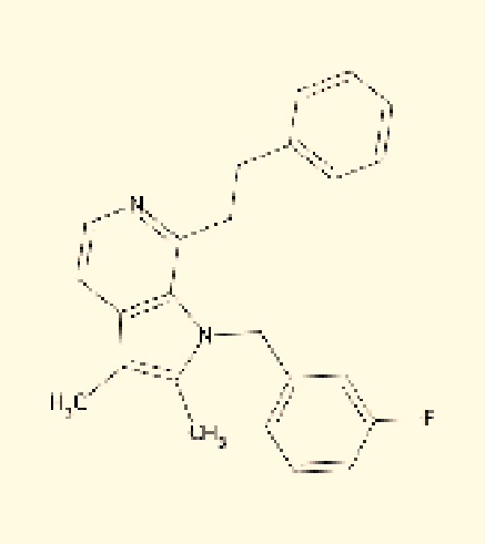 Cc1c(C)n(Cc2cccc(F)c2)c2c(CCc3ccccc3)nccc12